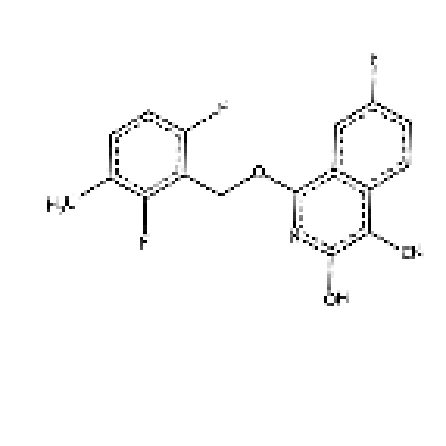 Cc1ccc(F)c(COc2nc(O)c(C#N)c3ccc(F)cc23)c1F